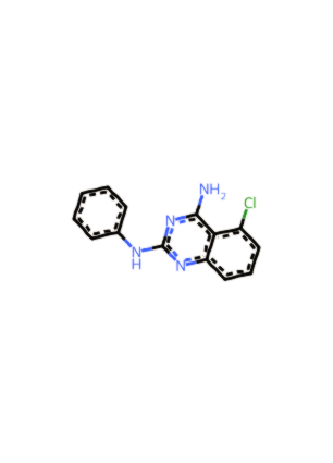 Nc1nc(Nc2ccccc2)nc2cccc(Cl)c12